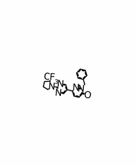 O=c1ccc(-c2cnc(N3CCCC3C(F)(F)F)nc2)nn1Cc1ccccc1